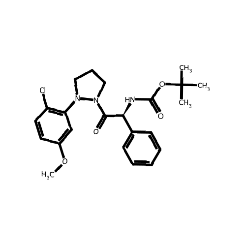 COc1ccc(Cl)c(N2CCCN2C(=O)[C@@H](NC(=O)OC(C)(C)C)c2ccccc2)c1